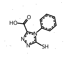 O=C(O)c1nnc(S)n1-c1ccccc1